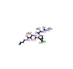 C=CCCNC(=O)C(=O)[C@@H](CCCC)NC(=O)[C@@H]1C2C(CN1C(=O)[C@@H](NC(=O)NC(C)(C)C)C(C)(C)C)C2(Cl)Cl